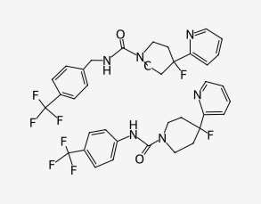 O=C(NCc1ccc(C(F)(F)F)cc1)N1CCC(F)(c2ccccn2)CC1.O=C(Nc1ccc(C(F)(F)F)cc1)N1CCC(F)(c2ccccn2)CC1